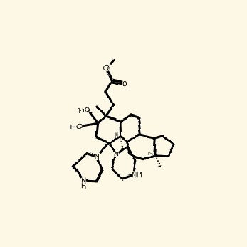 COC(=O)CCC1(C)C2CCC3C4CCC[C@@]4(C)CCC3[C@@]2(C)C(N2CCNCC2)(N2CCNCC2)CC1(O)O